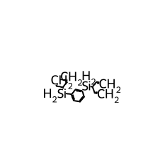 C=CC(C=C)[SiH2]c1cccc([SiH2]C(C=C)C=C)c1